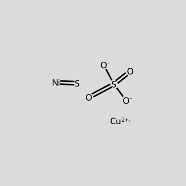 O=S(=O)([O-])[O-].[Cu+2].[S]=[Ni]